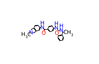 CC(NC(=O)Nc1ccc(C(=O)Nc2ccc3c(c2)CN(C)C3)cc1)c1ccccc1